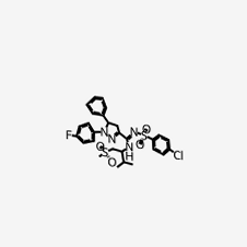 CC(C)C(CS(C)(=O)=O)NC(=NS(=O)(=O)c1ccc(Cl)cc1)C1=NN(c2ccc(F)cc2)C(c2ccccc2)C1